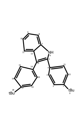 CC(C)(C)c1ccc(-c2[nH]c3ccccc3c2-c2ccc(C(C)(C)C)cc2)cc1